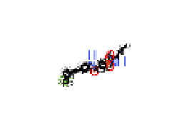 CCCCCC(=O)NS(=O)(=O)c1ccc(C(=O)Nc2ccc(C#Cc3cccc(C(F)(F)F)c3)cc2)cc1